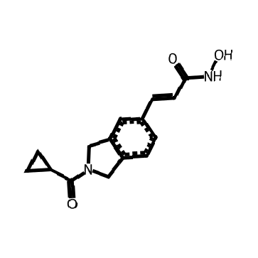 O=C(C=Cc1ccc2c(c1)CN(C(=O)C1CC1)C2)NO